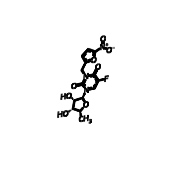 C[C@@H]1O[C@H](n2cc(F)c(=O)n(Cc3ccc([N+](=O)[O-])o3)c2=O)[C@@H](O)[C@H]1O